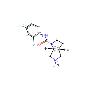 N#CN1C[C@H]2CCN(C(=O)Nc3ccc(Cl)cc3F)[C@H]2C1